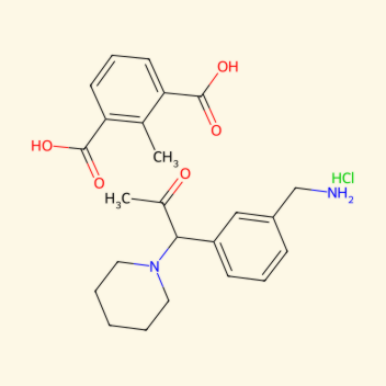 CC(=O)C(c1cccc(CN)c1)N1CCCCC1.Cc1c(C(=O)O)cccc1C(=O)O.Cl